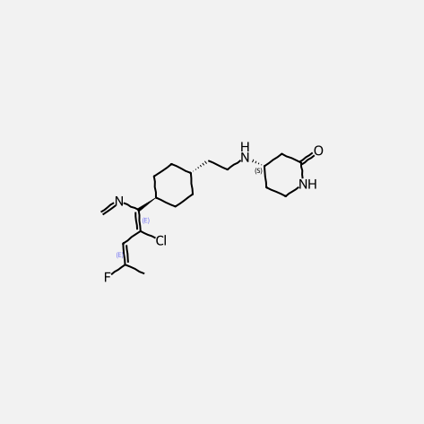 C=N/C(=C(Cl)\C=C(/C)F)[C@H]1CC[C@H](CCN[C@H]2CCNC(=O)C2)CC1